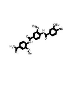 CCC(C)Oc1cc(C(N)=O)ccc1NC(=O)c1ccc(NC(=O)c2ccc([N+](=O)[O-])c(OCC(C)C)c2)c(OC(C)CC)c1